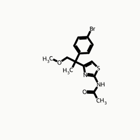 COCC(C)(c1ccc(Br)cc1)c1csc(NC(C)=O)n1